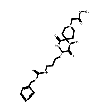 CCCCOC(=O)CN1CCC2(CC1)C(=O)N[C@@H](CCCCNC(=O)OCc1ccccc1)C(=O)N2CCC